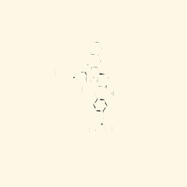 CC(C)(C)OC(=O)N[C@@H](CC1CCCCC1)C(=O)N[C@@H](Cc1ccc(OC(C)(C)C)cc1)C(=O)O